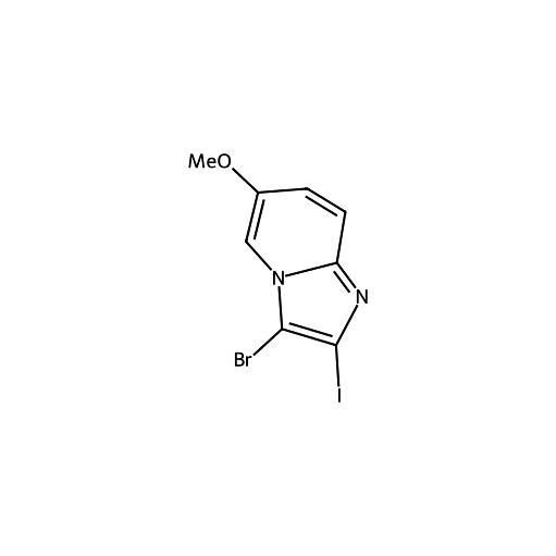 COc1ccc2nc(I)c(Br)n2c1